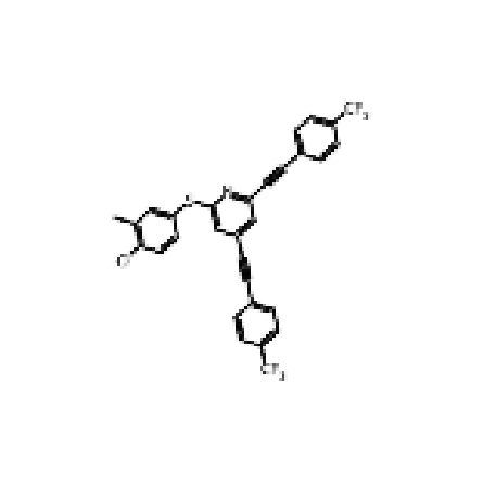 Cc1cc(Sc2cc(C#Cc3ccc(C(F)(F)F)cc3)cc(C#Cc3ccc(C(F)(F)F)cc3)n2)ccc1[O]